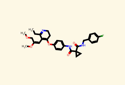 CCC1=NCCC(Oc2ccc(NC(=O)C3(C(=O)NCc4ccc(F)cc4)CC3)cc2)=C1/C=C(\COC)OC